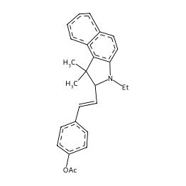 CCN1c2ccc3ccccc3c2C(C)(C)C1C=Cc1ccc(OC(C)=O)cc1